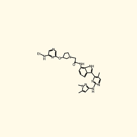 CCNc1cncc(O[C@H]2CCN(CC(=O)Nc3cccc4c(-c5nc(Nc6cc(C)n(C)n6)ncc5C)c[nH]c34)C2)n1